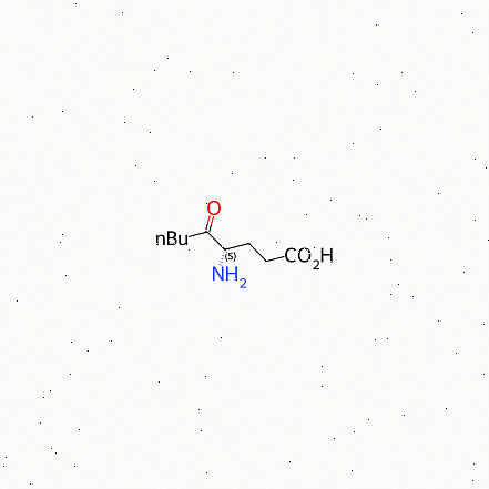 CCCCC(=O)[C@@H](N)CCC(=O)O